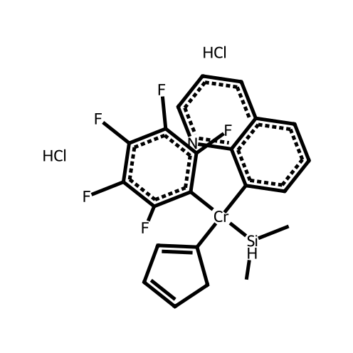 C[SiH](C)[Cr]([C]1=CC=CC1)([c]1c(F)c(F)c(F)c(F)c1F)[c]1cccc2cccnc12.Cl.Cl